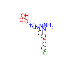 Nc1nc2c(c(N3CCN(CCOCC(=O)O)CC3)n1)CCc1cc(OCc3ccc(Cl)cc3)ccc1-2